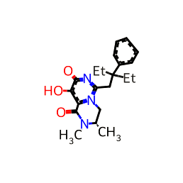 CCC(CC)(Cc1nc(=O)c(O)c2n1C[C@H](C)N(C)C2=O)c1ccccc1